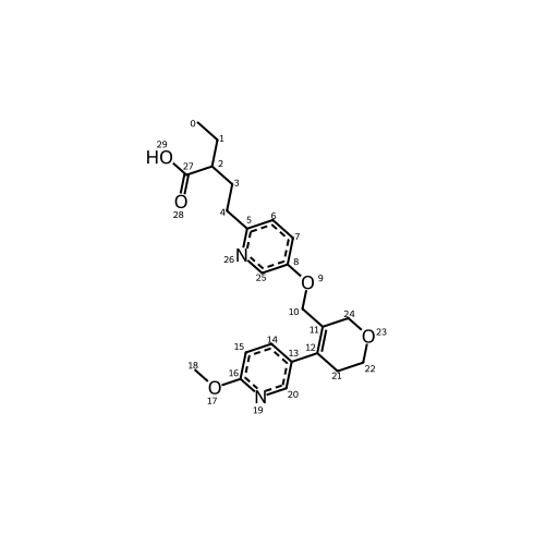 CCC(CCc1ccc(OCC2=C(c3ccc(OC)nc3)CCOC2)cn1)C(=O)O